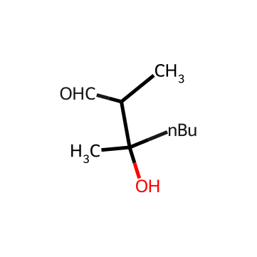 CCCCC(C)(O)C(C)C=O